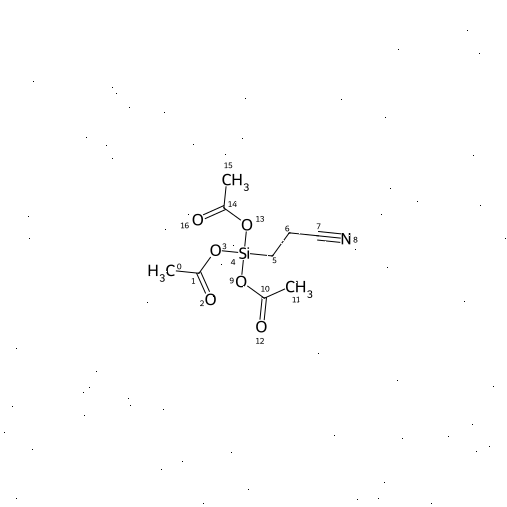 CC(=O)O[Si](CCC#N)(OC(C)=O)OC(C)=O